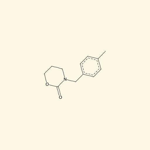 Cc1ccc(CN2CCCOC2=O)cc1